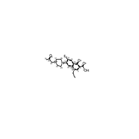 CCn1cc(C(=O)O)c(=O)c2cc(F)c(N3CCN(CC(C)=O)CC3)cc21